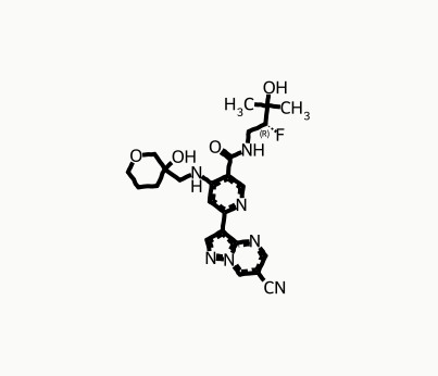 CC(C)(O)[C@H](F)CNC(=O)c1cnc(-c2cnn3cc(C#N)cnc23)cc1NCC1(O)CCCOC1